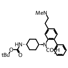 CNCCc1ccc(-c2ccccc2)c(N(C(=O)O)[C@H]2CC[C@H](NC(=O)OC(C)(C)C)CC2)c1